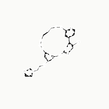 Clc1cnc2nc1-c1ccnc(c1)OCC/C=C/COCc1cc(cc(OCCn3ccnc3)c1)N2